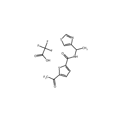 CC(NC(=O)c1ccc(C(=O)C(F)(F)F)s1)c1cscn1.O=C(O)C(F)(F)F